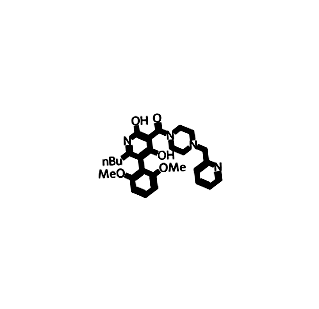 CCCCc1nc(O)c(C(=O)N2CCN(Cc3ccccn3)CC2)c(O)c1-c1c(OC)cccc1OC